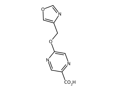 O=C(O)c1cnc(OCc2cocn2)cn1